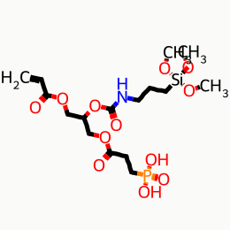 C=CC(=O)OCC(COC(=O)CCP(=O)(O)O)OC(=O)NCCC[Si](OC)(OC)OC